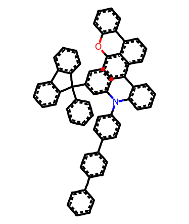 c1ccc(-c2ccc(-c3ccc(N(c4cccc(C5(c6ccccc6)c6ccccc6-c6ccccc65)c4)c4ccccc4-c4ccc5c6c(cccc46)-c4ccccc4O5)cc3)cc2)cc1